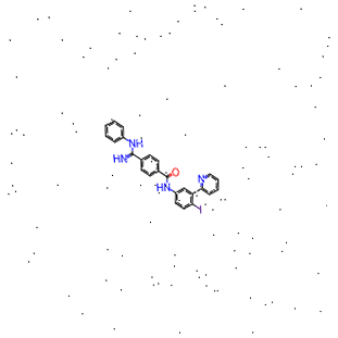 N=C(Nc1ccccc1)c1ccc(C(=O)Nc2ccc(I)c(-c3ccccn3)c2)cc1